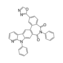 O=c1c2ccc(-c3nnco3)cc2c2cc3c4cccnc4n(-c4ccccc4)c3cc2c(=O)n1-c1ccccc1